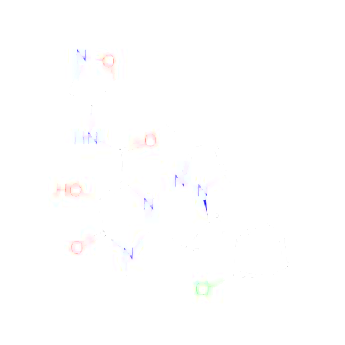 Cc1ccn([C@@H](c2ccccc2Cl)[C@H](C)c2nc(C(=O)Nc3cnoc3)c(O)c(=O)n2C)n1